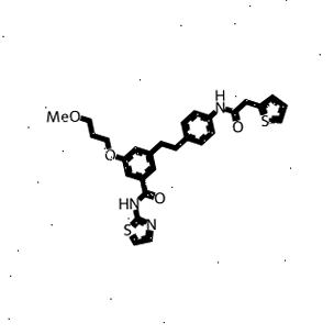 COCCCOc1cc(CCc2ccc(NC(=O)Cc3cccs3)cc2)cc(C(=O)Nc2nccs2)c1